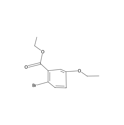 CCOC(=O)c1cc(OCC)ccc1Br